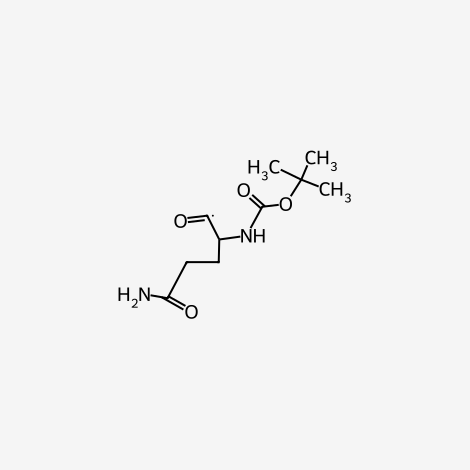 CC(C)(C)OC(=O)NC([C]=O)CCC(N)=O